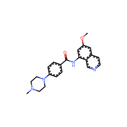 COc1cc(NC(=O)c2ccc(N3CCN(C)CC3)cc2)c2cnccc2c1